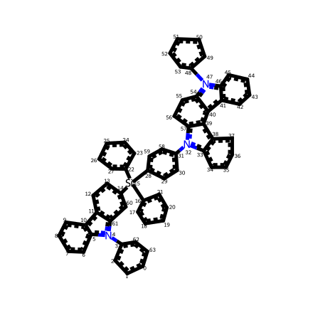 c1ccc(-n2c3ccccc3c3ccc([Si](c4ccccc4)(c4ccccc4)c4ccc(-n5c6ccccc6c6c7c8ccccc8n(-c8ccccc8)c7ccc65)cc4)cc32)cc1